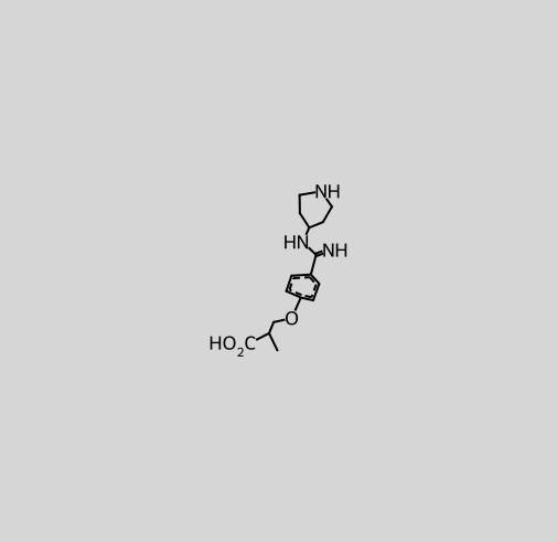 CC(COc1ccc(C(=N)NC2CCNCC2)cc1)C(=O)O